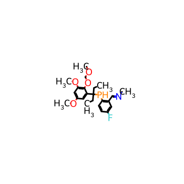 CCC(CC)(Pc1ccc(F)cc1/C=N/C)c1cc(OC)cc(OC)c1OCOC